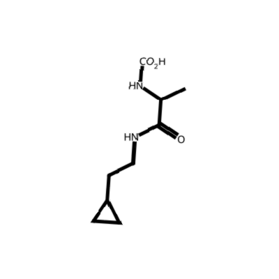 CC(NC(=O)O)C(=O)NCCC1CC1